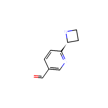 O=Cc1ccc([C@@H]2CCN2)nc1